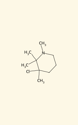 CN1CCCC(C)(Cl)C1(C)C